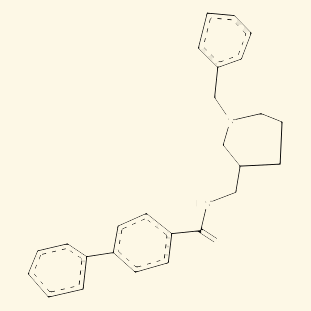 O=C(NCC1CCCN(Cc2ccccc2)C1)c1ccc(-c2ccccc2)cc1